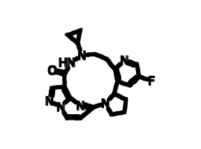 O=C1NN(C2CC2)CCc2ncc(F)cc2C2CCCN2c2ccn3ncc1c3n2